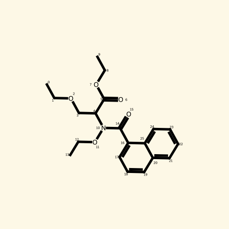 CCOCC(C(=O)OCC)N(OCC)C(=O)c1cccc2ccccc12